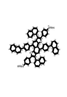 CCCCCCc1ccc(-c2oc3c(cc(-c4ccc(-c5cccc6ccccc56)cc4)c4c5oc(-c6ccc(CCCCCC)cc6)c(-c6cccc7ccccc67)c5cc(-c5ccc(-c6ccc7ccccc7c6)cc5)c34)c2-c2cccc3ccccc23)cc1